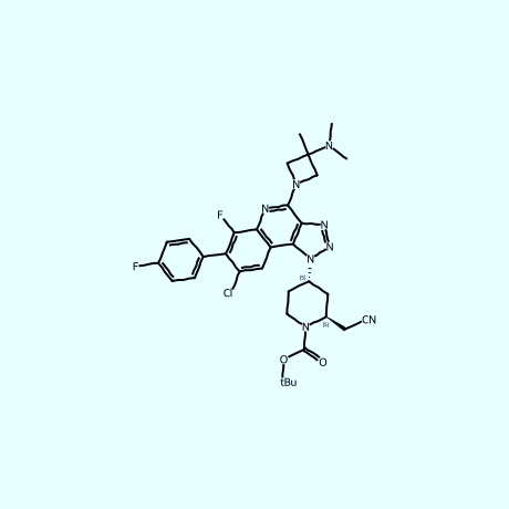 CN(C)C1(C)CN(c2nc3c(F)c(-c4ccc(F)cc4)c(Cl)cc3c3c2nnn3[C@H]2CCN(C(=O)OC(C)(C)C)[C@H](CC#N)C2)C1